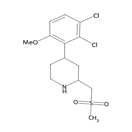 COc1ccc(Cl)c(Cl)c1C1CCNC(CS(C)(=O)=O)C1